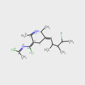 CC/C(=C/C(C)C(C)C(C)F)C/C(C(C)=N)=C(Cl)/N=C(\C)Cl